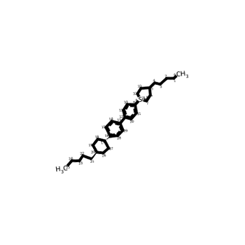 CCCCCC1CC[SiH](c2ccc(-c3ccc([C@H]4CC[C@H](CCCCC)CC4)cc3)cc2)CC1